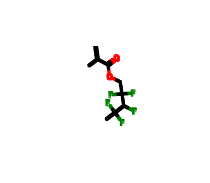 C=C(C)C(=O)OCC(F)(F)C(F)C(C)(F)F